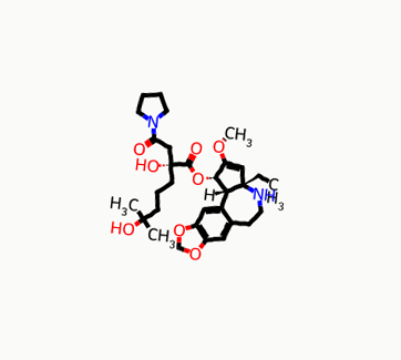 CC[C@]12C=C(OC)[C@@H](OC(=O)[C@@](O)(CCCC(C)(C)O)CC(=O)N3CCCC3)[C@H]1c1cc3c(cc1CCN2)OCO3